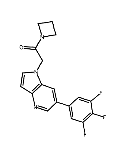 O=C(Cn1ccc2ncc(-c3cc(F)c(F)c(F)c3)cc21)N1CCC1